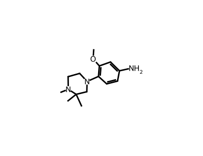 COc1cc(N)ccc1N1CCN(C)C(C)(C)C1